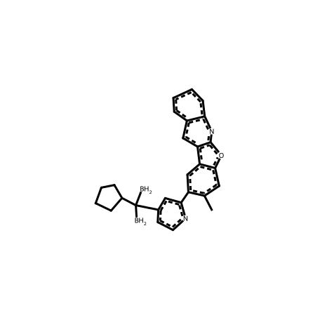 BC(B)(c1ccnc(-c2cc3c(cc2C)oc2nc4ccccc4cc23)c1)C1CCCC1